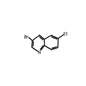 CCc1ccc2ncc(Br)cc2c1